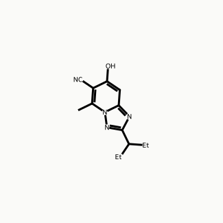 CCC(CC)c1nc2cc(O)c(C#N)c(C)n2n1